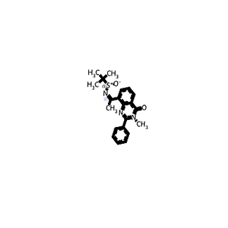 C/C(=N/[S@+]([O-])C(C)(C)C)c1cccc2c(=O)n(C)c(-c3ccccc3)nc12